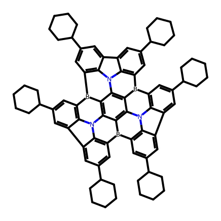 c1c(C2CCCCC2)cc2c3cc(C4CCCCC4)cc4c3n3c2c1B1c2c-3c3c5c6c2-n2c7c1cc(C1CCCCC1)cc7c1cc(C7CCCCC7)cc(c12)B6c1cc(C2CCCCC2)cc2c6cc(C7CCCCC7)cc(c6n-5c12)B34